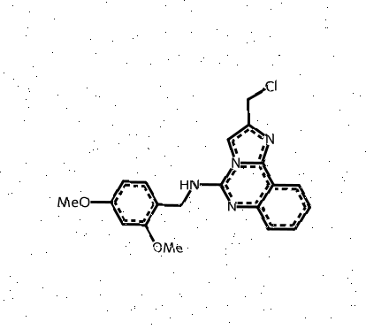 COc1ccc(CNc2nc3ccccc3c3nc(CCl)cn23)c(OC)c1